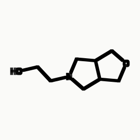 OCCN1CC2COCC2C1